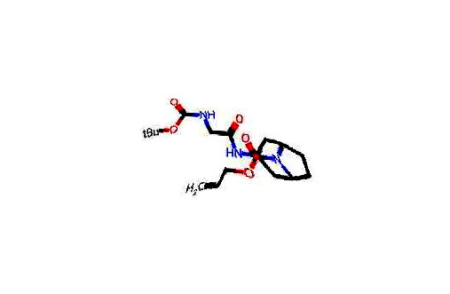 C=CCOC(=O)N1C2CCC1CC(NC(=O)CNC(=O)OC(C)(C)C)C2